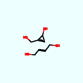 OCC1=CC1O.OCC=CCO